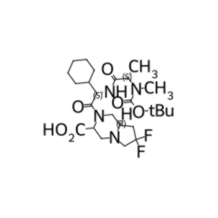 C[C@@H](C(=O)N[C@H](C(=O)N1C[C@H]2CC(F)(F)CN2CC1C(=O)O)C1CCCCC1)N(C)C(=O)OC(C)(C)C